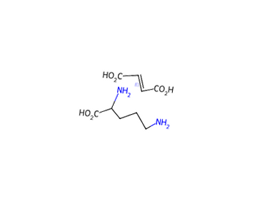 NCCCC(N)C(=O)O.O=C(O)/C=C/C(=O)O